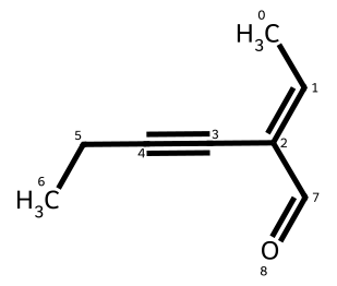 C/C=C(\C#CCC)C=O